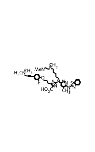 CNCCN(C)CCCCCN(c1cc(C)c(Nc2nc3ccccc3s2)nn1)c1nc(C(=O)O)c(CCCOc2ccc(C#CCN(C)C)cc2F)s1